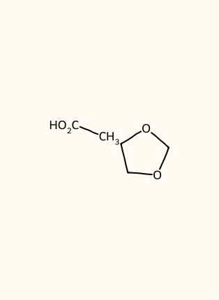 C1COCO1.CC(=O)O